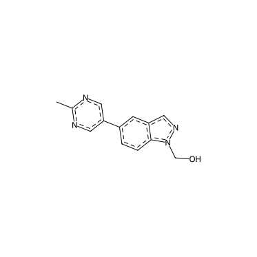 Cc1ncc(-c2ccc3c(cnn3CO)c2)cn1